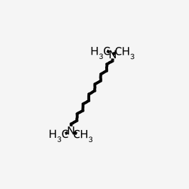 CN(C)CCCCCCCCCCCCCCN(C)C